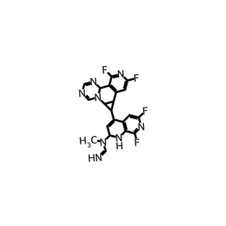 CN(C=N)C1C=C(C2C3c4cc(F)nc(F)c4C4N=CN=CN4C23)c2cc(F)nc(F)c2N1